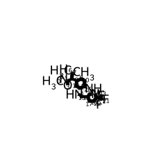 CNC(=O)C(=C(C)C)c1ccc2c(c1)NCc1ccc(C(F)(F)F)nc1N2